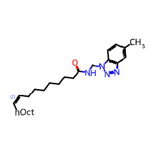 CCCCCCCC/C=C\CCCCCCCC(=O)NCn1nnc2cc(C)ccc21